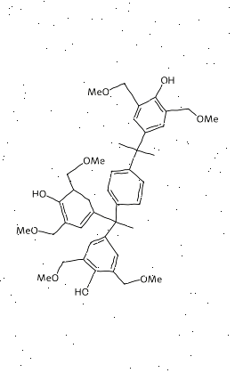 COCC1=C(O)C(COC)CC(C(C)(c2ccc(C(C)(C)c3cc(COC)c(O)c(COC)c3)cc2)c2cc(COC)c(O)c(COC)c2)=C1